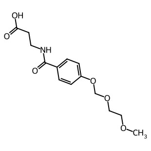 COCCOCOc1ccc(C(=O)NCCC(=O)O)cc1